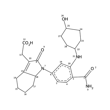 NC(=O)c1ccc(N2C(=O)C(CC(=O)O)=C3CCCCC32)cc1NC1CCC(O)CC1